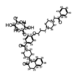 O=C(CN1CCN(CCCOc2ccc(C(=O)N3CCC(N4C(=O)CCc5ccccc54)CC3)cc2)CC1)c1ccccc1.O=C(O)C(=O)O.O=C(O)C(=O)O